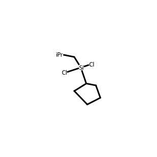 CC(C)C[Si](Cl)(Cl)C1CCCC1